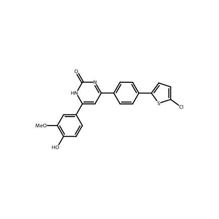 COc1cc(-c2cc(-c3ccc(-c4ccc(Cl)s4)cc3)nc(=O)[nH]2)ccc1O